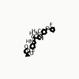 Cc1cc(Oc2ccccc2F)ccc1-n1ncc(C(=O)c2cc3cc(F)c(N4C(=O)C#CC5(CC5)C4=O)cc3[nH]2)c1N